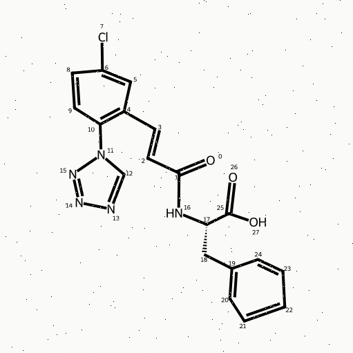 O=C(C=Cc1cc(Cl)ccc1-n1cnnn1)N[C@@H](Cc1ccccc1)C(=O)O